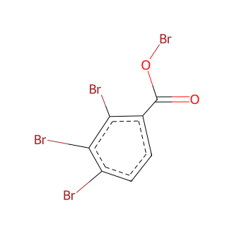 O=C(OBr)c1ccc(Br)c(Br)c1Br